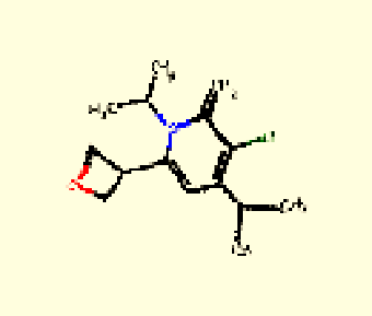 C=C1C(Cl)=C(C(C)C)C=C(C2COC2)N1C(C)C